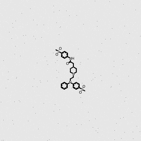 CS(=O)(=O)c1ccc(NC(=O)CC2CCN(CCN(c3ccccc3)c3ccc(S(C)(=O)=O)cc3)CC2)cc1